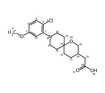 COc1ccc(Cl)c(N2CCC3(CCC(CC(=O)O)CO3)CC2)c1